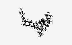 COCCCOc1cc(CC(C[C@H](NC(=O)OC(C)(C)C)[C@@H](O)C[C@H](C(=O)NC2CCOCC2)C(C)C)C(C)C)ccc1C